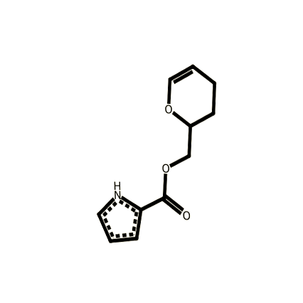 O=C(OCC1CCC=CO1)c1ccc[nH]1